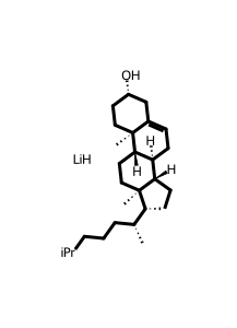 CC(C)CCC[C@@H](C)[C@H]1CC[C@H]2[C@@H]3CC=C4C[C@@H](O)CC[C@]4(C)[C@H]3CC[C@]12C.[LiH]